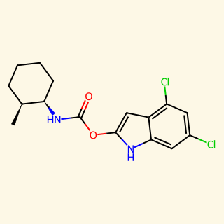 C[C@H]1CCCC[C@H]1NC(=O)Oc1cc2c(Cl)cc(Cl)cc2[nH]1